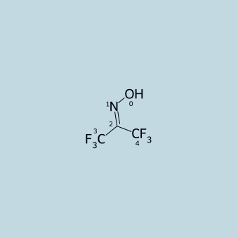 ON=C(C(F)(F)F)C(F)(F)F